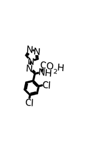 O=C(O)N/C(=N\n1cnnc1)c1ccc(Cl)cc1Cl